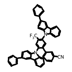 N#Cc1cccc(-c2cc(-n3c4ccccc4c4cc(-c5ccccc5)ccc43)c(C(F)(F)F)cc2-n2c3ccccc3c3cc(-c4ccccc4)ccc32)c1